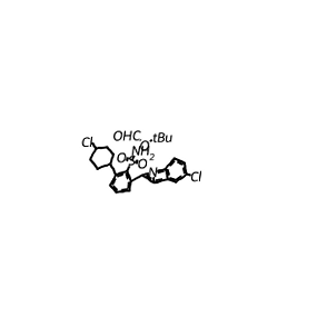 CC(C)(C)OC=O.NS(=O)(=O)c1c(-c2c3c4cc(Cl)ccc4n2-3)cccc1C1CCC(Cl)CC1